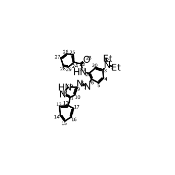 CCN(CC)c1ccc(N=Nc2cc(-c3ccccc3)n[nH]2)c(NC(=O)c2ccccc2)c1